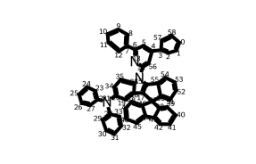 c1ccc(-c2cc(-c3ccccc3)nc(-n3c4c(c5cc(N(c6ccccc6)c6ccccc6)ccc53)C3(c5ccccc5-c5ccccc53)c3ccccc3-4)c2)cc1